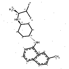 Cc1ccc2ncnc(N[C@H]3CC[C@H](N[C@@H](C)C(F)F)CC3)c2c1